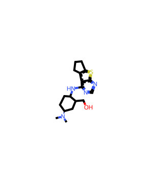 CN(C)[C@@H]1CCC(Nc2ncnc3sc4c(c23)CCC4)C(CO)C1